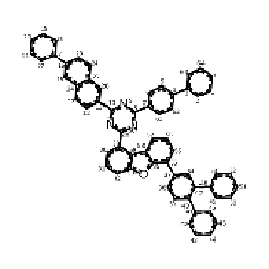 c1ccc(-c2ccc(-c3nc(-c4ccc5cc(-c6ccccc6)ccc5c4)nc(-c4cccc5oc6c(-c7ccc(-c8ccccc8)c(-c8ccccc8)c7)cccc6c45)n3)cc2)cc1